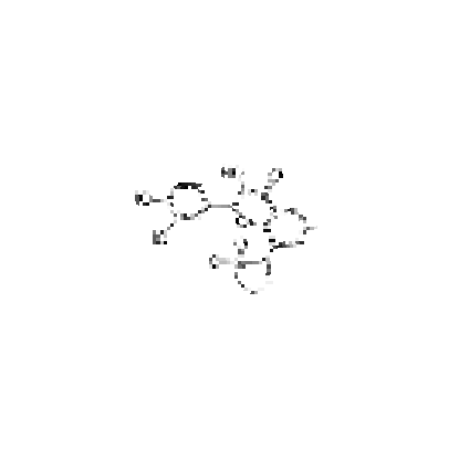 Cc1cc(N2CCCS2(=O)=O)c2oc(-c3ccc(O)c(O)c3)c(O)c(=O)c2c1